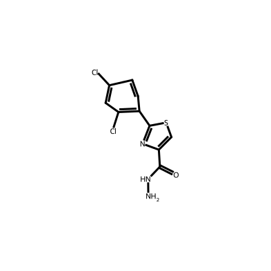 NNC(=O)c1csc(-c2ccc(Cl)cc2Cl)n1